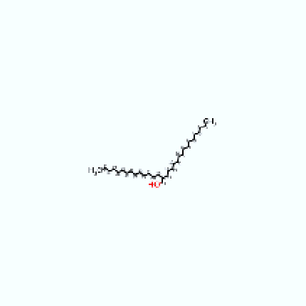 CCCCCCCCCCCCCCCC[C](CO)CCCCCCCCCCCCCC